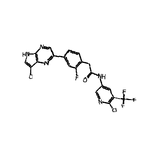 O=C(Cc1ccc(-c2cnc3[nH]cc(Cl)c3n2)cc1F)Nc1cnc(Cl)c(C(F)(F)F)c1